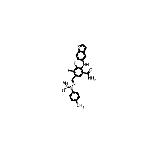 Cc1ccc(N(/N=C/c2cc(C(N)=O)c(Nc3ccc4sccc4c3)c(F)c2F)[SH](=O)=O)cc1